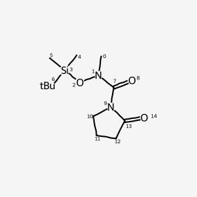 CN(O[Si](C)(C)C(C)(C)C)C(=O)N1CCCC1=O